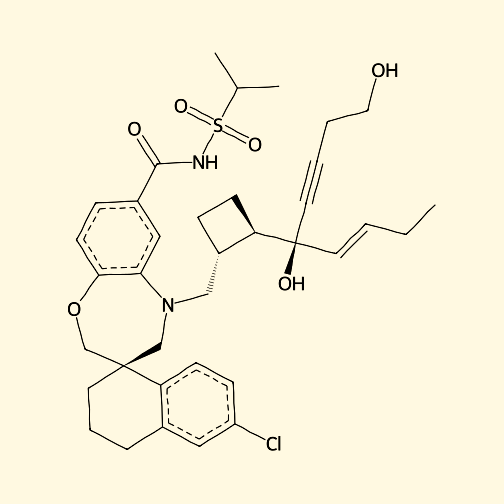 CC/C=C/[C@@](O)(C#CCCO)[C@@H]1CC[C@H]1CN1C[C@@]2(CCCc3cc(Cl)ccc32)COc2ccc(C(=O)NS(=O)(=O)C(C)C)cc21